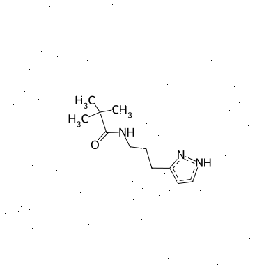 CC(C)(C)C(=O)NCCCc1cc[nH]n1